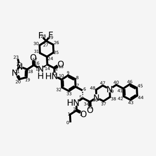 CCC(=O)N[C@H](Cc1ccc(NC(=O)[C@@H](NC(=O)c2ccnn2C)C2CCC(F)(F)CC2)cc1)C(=O)N1CCN(Cc2ccccc2)CC1